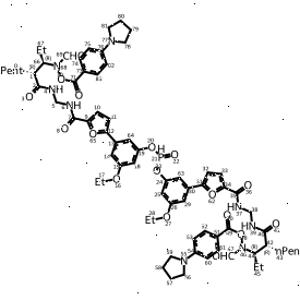 CCCCC[C@@H](C(=O)NCNC(=O)c1ccc(-c2cc(OCC)cc(O[PH](=O)Oc3cc(OCC)cc(-c4ccc(C(=O)NCNC(=O)[C@H](CCCCC)[C@@H](CC)N(C=O)OC(=O)c5ccc(N6CCCC6)cc5)o4)c3)c2)o1)[C@@H](CC)N(C=O)OC(=O)c1ccc(N2CCCC2)cc1